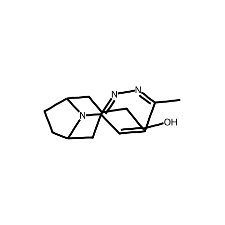 Cc1ccc(N2C3CCC2CC(CCO)C3)nn1